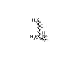 CCCC(O)CCCCC(C)NC1CCCN1